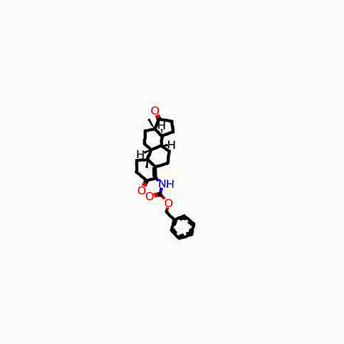 C[C@]12CCC(=O)C(NC(=O)OCc3ccccc3)=C1CC[C@@H]1[C@H]2CC[C@]2(C)C(=O)CC[C@@H]12